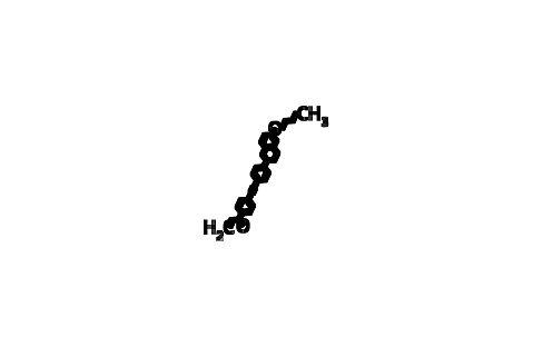 C=CC(=O)c1ccc(C#Cc2ccc(C3CCc4cc(OCCCCC)ccc4C3)cc2)cc1